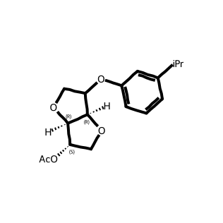 CC(=O)O[C@H]1CO[C@@H]2C(Oc3cccc(C(C)C)c3)CO[C@H]12